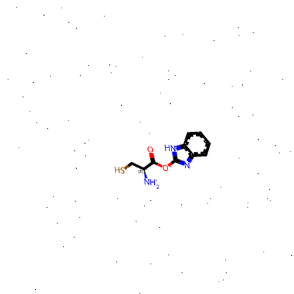 N[C@@H](CS)C(=O)Oc1nc2ccccc2[nH]1